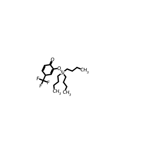 CCCC[Si](CCCC)(CCCC)OC1=CC(C(F)(F)F)C=CC1=O